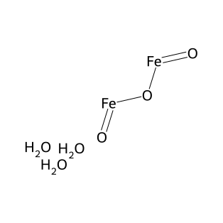 O.O.O.[O]=[Fe][O][Fe]=[O]